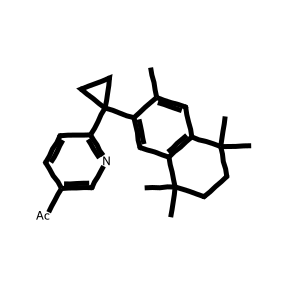 CC(=O)c1ccc(C2(c3cc4c(cc3C)C(C)(C)CCC4(C)C)CC2)nc1